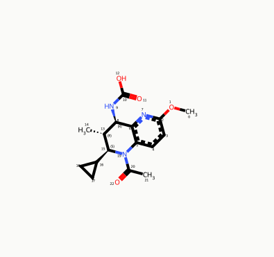 COc1ccc2c(n1)[C@H](NC(=O)O)[C@@H](C)[C@H](C1CC1)N2C(C)=O